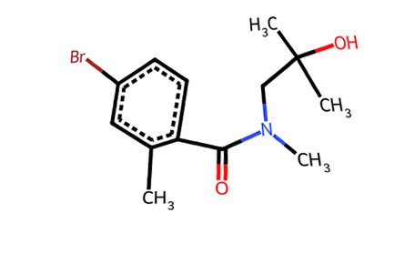 Cc1cc(Br)ccc1C(=O)N(C)CC(C)(C)O